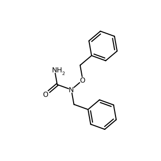 NC(=O)N(Cc1ccccc1)OCc1ccccc1